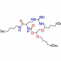 CCCCCCCCCCCCCCNC(=O)C(CCNC(=N)N)NC(=O)OC(COCCCCCCCCCCCCCC)OCCCCCCCCCCCCCC